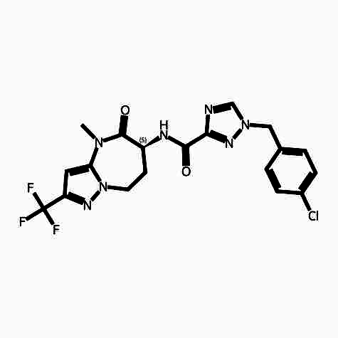 CN1C(=O)[C@@H](NC(=O)c2ncn(Cc3ccc(Cl)cc3)n2)CCn2nc(C(F)(F)F)cc21